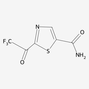 NC(=O)c1cnc(C(=O)C(F)(F)F)s1